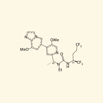 CCN(C(=O)N[C@@H](CCC(F)(F)F)C(F)(F)F)[C@H](C)c1cc(-c2cc(OC)c3nccn3c2)c(OC)cn1